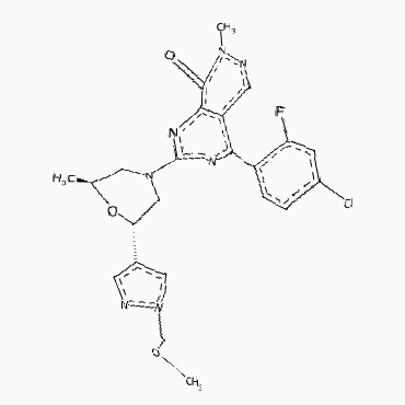 COCn1cc([C@H]2CN(c3nc(-c4ccc(Cl)cc4F)c4cnn(C)c(=O)c4n3)C[C@H](C)O2)cn1